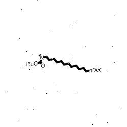 CCCCCCCCCCCCCCCCCCCCCCN(C)C(=O)OCC(C)C